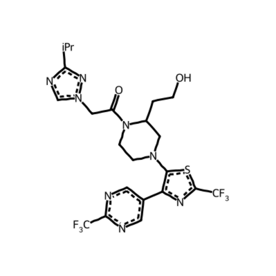 CC(C)c1ncn(CC(=O)N2CCN(c3sc(C(F)(F)F)nc3-c3cnc(C(F)(F)F)nc3)CC2CCO)n1